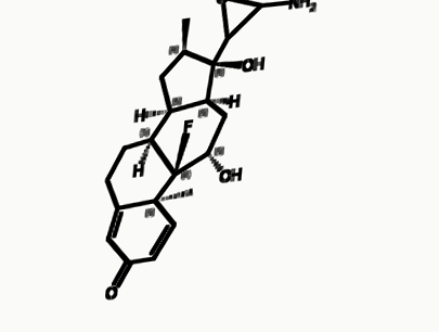 C[C@@H]1C[C@H]2[C@H](C[C@H](O)[C@@]3(F)[C@H]2CCC2=CC(=O)C=C[C@@]23C)[C@@]1(O)C1OC1N